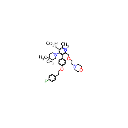 Cc1nc(COCCN2CCOCC2)c(-c2ccc(OCCc3ccc(F)cc3)cc2)c(N2CCC(C)(C)CC2)c1CC(=O)O